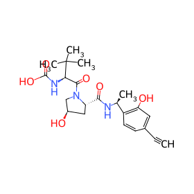 C#Cc1ccc([C@H](C)NC(=O)[C@@H]2C[C@@H](O)CN2C(=O)[C@@H](NC(=O)O)C(C)(C)C)c(O)c1